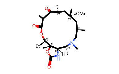 CC[C@H]1OC(=O)C(C)C(=O)[C@H](C)C[C@](C)(OC)C[C@@H](C)CN(C)[C@H](C)[C@H]2NC(=O)O[C@@]21C